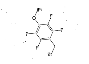 CC(C)Oc1c(F)c(F)c(CBr)c(F)c1F